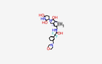 C/C=C1\C(=C/[C@@H](C)CN[C@@H](O)C(F)(F)C2=CCCC(CN3CCOCC3)=C2)CN(C2CC[C@H](O)N[C@@H]2O)[C@H]1O